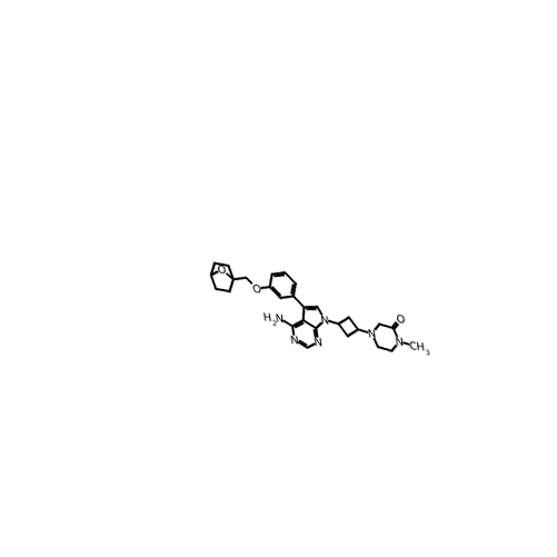 CN1CCN(C2CC(n3cc(-c4cccc(OCC56CCC(CC5)O6)c4)c4c(N)ncnc43)C2)CC1=O